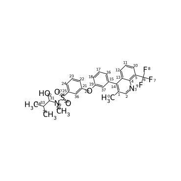 Cc1cnc2c(C(F)(F)F)cccc2c1-c1cccc(Oc2cccc(S(=O)(=O)N(C)C(O)C(C)C)c2)c1